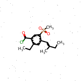 CC/C(C)=C/c1cc(CC)c(C(=O)Cl)cc1S(C)(=O)=O